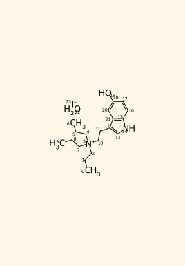 CCC[N+](CCC)(CCC)CCc1c[nH]c2ccc(O)cc12.O.[I-]